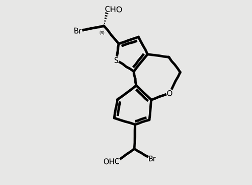 O=CC(Br)c1ccc2c(c1)OCCc1cc([C@H](Br)C=O)sc1-2